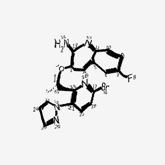 C[C@H](Oc1cc2cc(F)ccc2nc1N)c1nc(Br)ccc1-n1cccn1